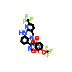 N/C(=N\O)c1cccc2c1N(S(=O)(=O)c1ccc(OC(F)(F)F)cc1)Cc1ccc(C(F)(F)F)nc1N2